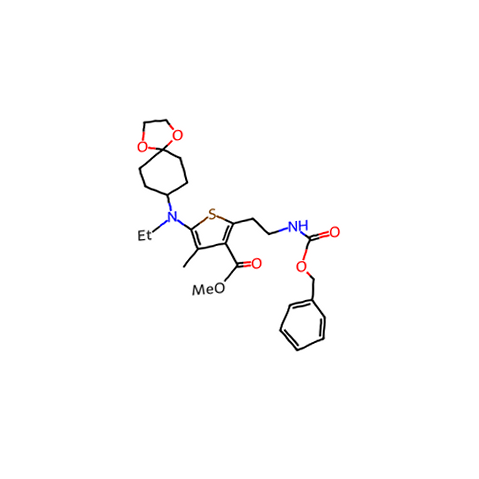 CCN(c1sc(CCNC(=O)OCc2ccccc2)c(C(=O)OC)c1C)C1CCC2(CC1)OCCO2